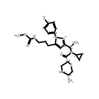 COC(=O)NCCCc1cc([C@@H](C)N(C(=O)[C@H]2CN[C@@H](C)CO2)C2CC2)nn1-c1ccc(F)cc1